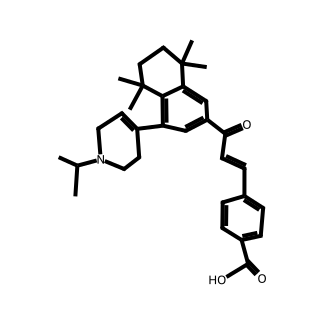 CC(C)N1CC=C(c2cc(C(=O)/C=C/c3ccc(C(=O)O)cc3)cc3c2C(C)(C)CCC3(C)C)CC1